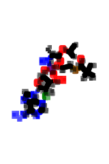 CC(C)OC(=O)[C@@H](C)NP(=O)(OCCSC(=O)C(C)(C)C)O[C@H]1O[C@@H](n2cnc3c(N)ncnc32)[C@](C)(Cl)[C@@H]1O